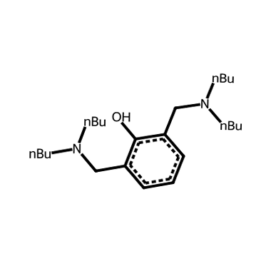 CCCCN(CCCC)Cc1cccc(CN(CCCC)CCCC)c1O